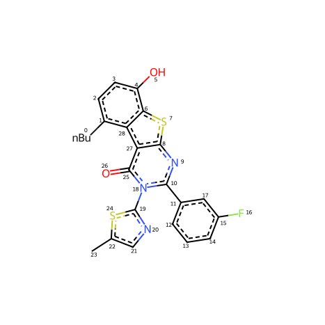 CCCCc1ccc(O)c2sc3nc(-c4cccc(F)c4)n(-c4ncc(C)s4)c(=O)c3c12